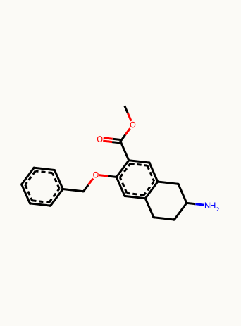 COC(=O)c1cc2c(cc1OCc1ccccc1)CCC(N)C2